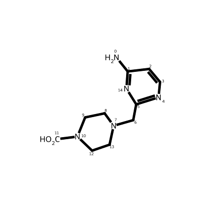 Nc1ccnc(CN2CCN(C(=O)O)CC2)n1